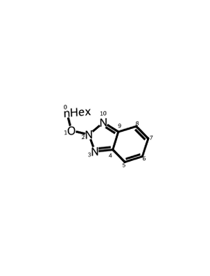 CCCCCCOn1nc2ccccc2n1